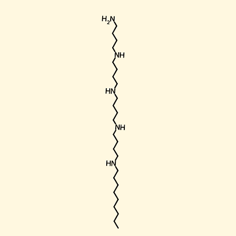 CCCCCCCCCNCCCCNCCCCNCCCCNCCCCN